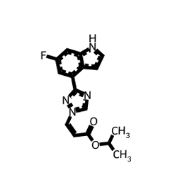 CC(C)OC(=O)/C=C\n1cnc(-c2cc(F)cc3[nH]ccc23)n1